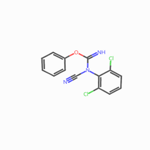 N#CN(C(=N)Oc1ccccc1)c1c(Cl)cccc1Cl